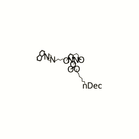 CCCCCCCCCCCCCCCCOC(=O)OCN1C(=O)CCc2ccc(OCCCCN3CCN(c4cccc5ccccc45)CC3)nc21